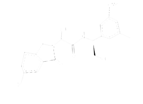 COc1cc(F)cc([C@@H](CO)NC(=O)C(C)N2Cc3ccc(Br)cc3C2=O)c1